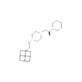 O=C(CN1CCN(CCC23CC4CC5CC(C2)C543)CC1)N1CCCCC1